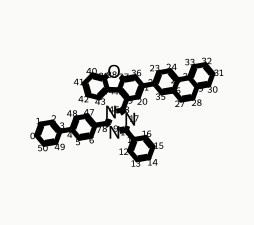 c1ccc(-c2ccc(-c3nc(-c4ccccc4)nc(-c4cc(-c5ccc6c(ccc7ccccc76)c5)cc5oc6ccccc6c45)n3)cc2)cc1